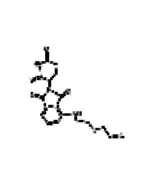 O=CCOCCNc1cccc2c1C(=O)N(C1CCC(=O)NC1=O)C2=O